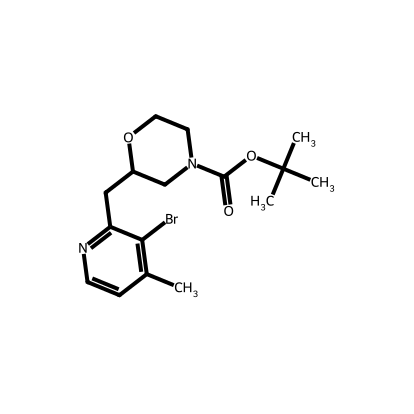 Cc1ccnc(CC2CN(C(=O)OC(C)(C)C)CCO2)c1Br